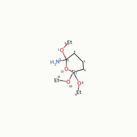 CCOC1(N)CCC[Si](OCC)(OCC)O1